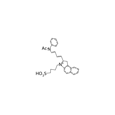 CC(=O)N(/C=C/C=C/C1=[N+](CCCCS(=O)(=O)O)c2ccc3ccccc3c2C1)c1ccccc1